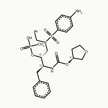 CC(C)CN(C[C@@H](OP(C)(=O)O)[C@H](Cc1ccccc1)NC(=O)O[C@H]1CCOC1)S(=O)(=O)c1ccc(N)cc1